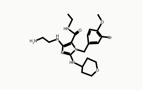 CCNC(=O)c1c(NCCN)nc(NC2CCOCC2)n1Cc1ccc(OC)c(Br)c1